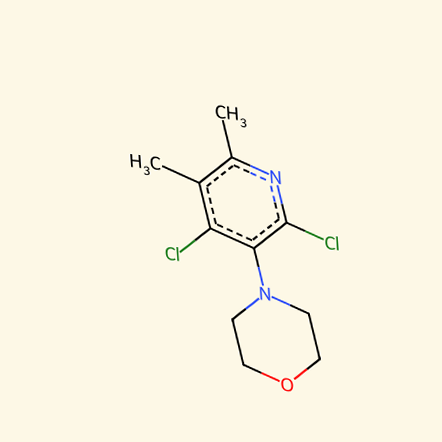 Cc1nc(Cl)c(N2CCOCC2)c(Cl)c1C